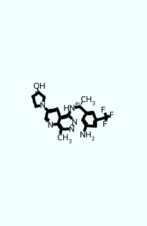 Cc1nnc(N[C@H](C)c2cc(N)cc(C(F)(F)F)c2)c2cc(N3CC[C@H](O)C3)cnc12